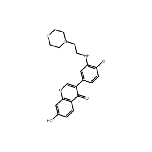 O=c1c(-c2ccc(Cl)c(NCCN3CCOCC3)c2)coc2cc(O)ccc12